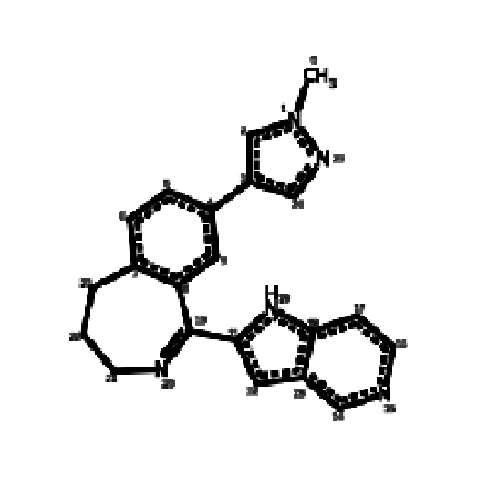 Cn1cc(-c2ccc3c(c2)C(c2cc4cnccc4[nH]2)=NCCC3)cn1